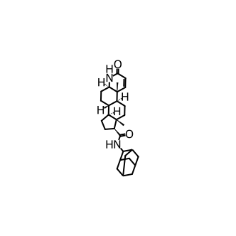 C[C@]12C=CC(=O)N[C@@H]1CC[C@@H]1[C@@H]2CC[C@]2(C)[C@@H](C(=O)NC3C4CC5CC(C4)CC3C5)CC[C@@H]12